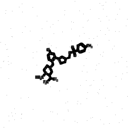 Cc1ccc(S(=O)(=O)OC[C@H]2CCN(c3cc(Cl)ccc3CN3CCN(C(=O)O)C(C(C(F)(F)F)C(F)(F)F)C3)C2)cc1